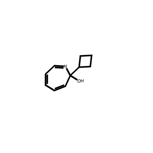 OC1(C2CCC2)C=CC=CC=N1